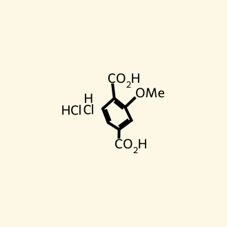 COc1cc(C(=O)O)ccc1C(=O)O.Cl.Cl